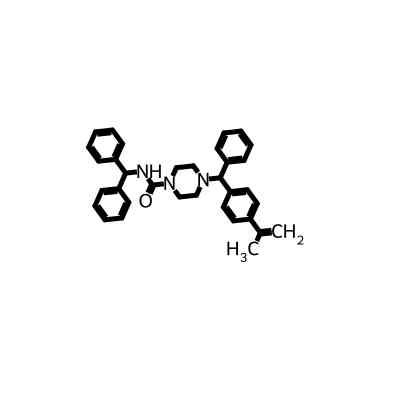 C=C(C)c1ccc(C(c2ccccc2)N2CCN(C(=O)NC(c3ccccc3)c3ccccc3)CC2)cc1